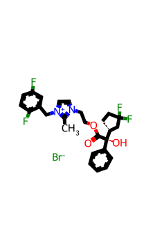 Cc1n(CCOC(=O)[C@](O)(c2ccccc2)[C@@H]2CCC(F)(F)C2)cc[n+]1Cc1cc(F)ccc1F.[Br-]